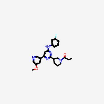 CCC(=O)N1CCCC(c2nc(Nc3cccc(F)c3)cc(-c3cncc(OC)c3)n2)C1